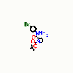 CC(C)(C)OC(=O)N1CCC[C@H]1C(=O)N(N)c1ccc(Br)cc1